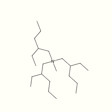 CCCC(CC)C[N+](C)(CC(CC)CCC)CC(CC)CCC